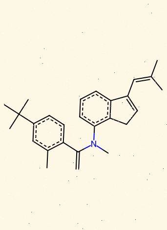 C=C(c1ccc(C(C)(C)C)cc1C)N(C)c1cccc2c1CC=C2C=C(C)C